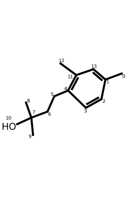 Cc1ccc(CCC(C)(C)O)c(C)c1